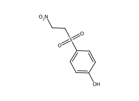 O=[N+]([O-])CCS(=O)(=O)c1ccc(O)cc1